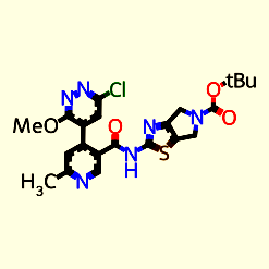 COc1nnc(Cl)cc1-c1cc(C)ncc1C(=O)Nc1nc2c(s1)CN(C(=O)OC(C)(C)C)C2